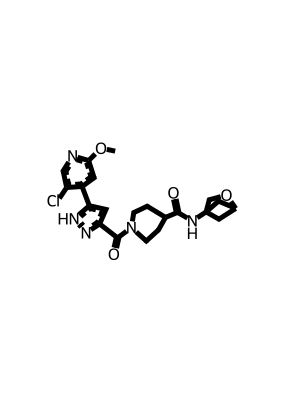 COc1cc(-c2cc(C(=O)N3CCC(C(=O)NC45COC(C4)C5)CC3)n[nH]2)c(Cl)cn1